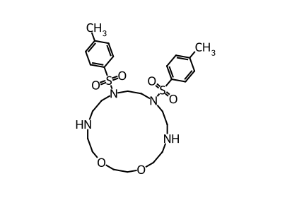 Cc1ccc(S(=O)(=O)N2CCNCCOCCOCCNCCN(S(=O)(=O)c3ccc(C)cc3)CC2)cc1